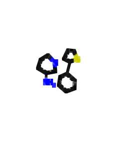 Nc1cccnc1.c1ccc(-c2cccs2)cc1